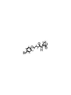 O=C(CCCOc1ccc(Br)cc1)NN1CCOC1=O